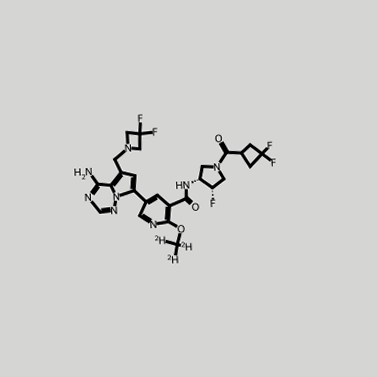 [2H]C([2H])([2H])Oc1ncc(-c2cc(CN3CC(F)(F)C3)c3c(N)ncnn23)cc1C(=O)N[C@@H]1CN(C(=O)C2CC(F)(F)C2)C[C@@H]1F